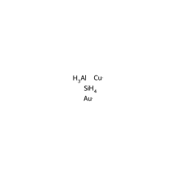 [AlH3].[Au].[Cu].[SiH4]